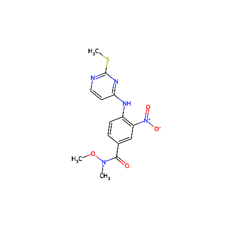 CON(C)C(=O)c1ccc(Nc2ccnc(SC)n2)c([N+](=O)[O-])c1